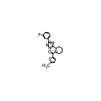 Cc1ccc(C(=O)N2CCCCC2c2nnn(-c3cccc(F)c3)n2)s1